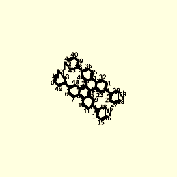 c1cncc(-c2ccc3c4ccc(-c5cccnc5)cc4c4c5cc(-c6cccnc6)ccc5c5ccc(-c6cccnc6)cc5c4c3c2)c1